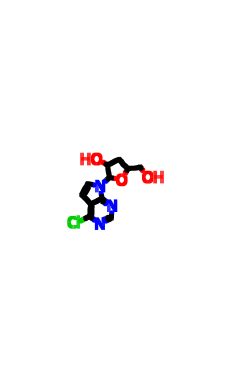 OCC1CC(O)C(n2ccc3c(Cl)ncnc32)O1